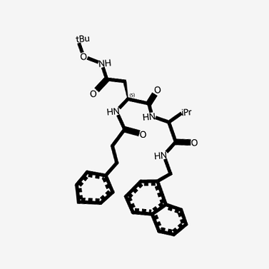 CC(C)C(NC(=O)[C@H](CC(=O)NOC(C)(C)C)NC(=O)CCc1ccccc1)C(=O)NCc1cccc2ccccc12